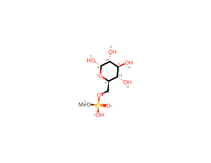 COP(=O)(O)OC[C@H]1O[C@H](O)[C@H](O)[C@@H](O)[C@@H]1O